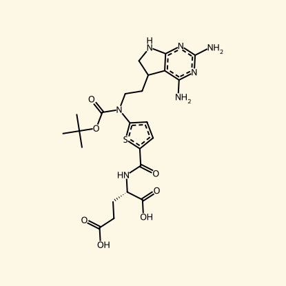 CC(C)(C)OC(=O)N(CCC1CNc2nc(N)nc(N)c21)c1ccc(C(=O)N[C@@H](CCC(=O)O)C(=O)O)s1